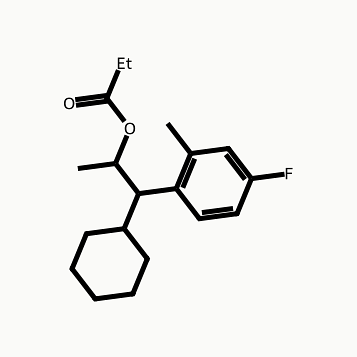 CCC(=O)OC(C)C(c1ccc(F)cc1C)C1CCCCC1